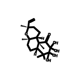 C=C[C@@]1(C)CC[C@@H]2[C@@]3(C)C(=O)C(O)(O)C(O)(O)C(C)(C)[C@@H]3CC[C@@]2(C)O1